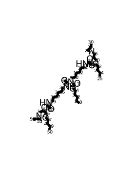 CCCCCOC(=O)N(CCCCCCNC(=O)OC(COCCCC)CN1CC1C)C(=O)NCCCCCCNC(=O)OC(COCCCC)CN1CC1C